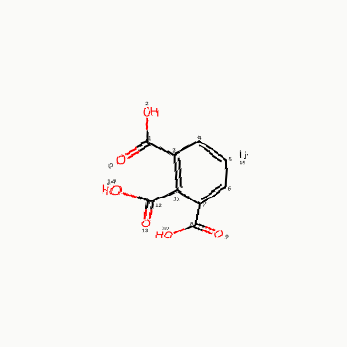 O=C(O)c1cccc(C(=O)O)c1C(=O)O.[Li]